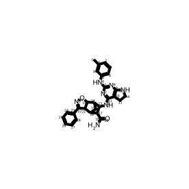 Cc1cccc(Nc2nc3c(c(NC4C5CC(C4C(N)=O)C4C(c6ccccc6)=NOC54)n2)CCN3)c1